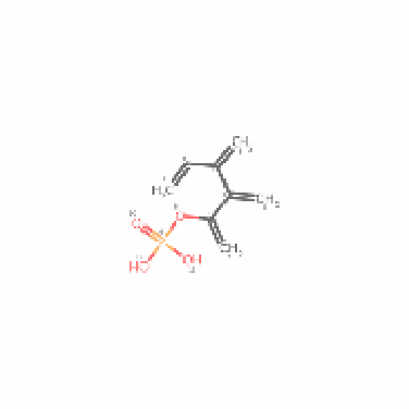 C=CC(=C)C(=C)C(=C)OP(=O)(O)O